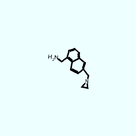 NCc1cccc2cc(CN3CC3)ccc12